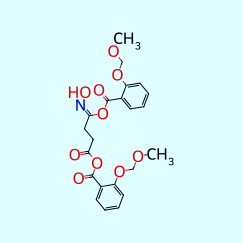 COCOc1ccccc1C(=O)OC(=O)CC/C(=N/O)OC(=O)c1ccccc1OCOC